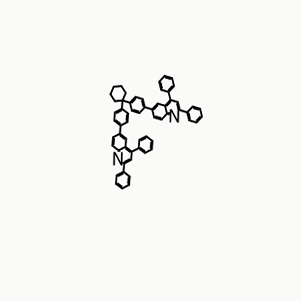 c1ccc(-c2cc(-c3ccccc3)c3cc(-c4ccc(C5(c6ccc(-c7ccc8nc(-c9ccccc9)cc(-c9ccccc9)c8c7)cc6)CCCCC5)cc4)ccc3n2)cc1